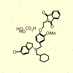 COc1cc(CN(CC2CCCCC2)[C@H]2CCc3cc(Cl)ccc32)ccc1OCCN1C(=O)c2ccccc2C1=O.Cl.O=C(O)O